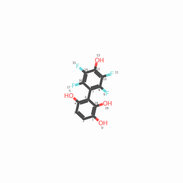 Oc1ccc(O)c(-c2c(F)c(F)c(O)c(F)c2F)c1O